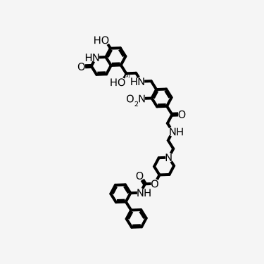 O=C(Nc1ccccc1-c1ccccc1)OC1CCN(CCNCC(=O)c2ccc(CNC[C@@H](O)c3ccc(O)c4[nH]c(=O)ccc34)c([N+](=O)[O-])c2)CC1